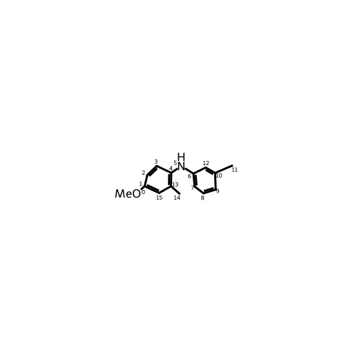 COc1ccc(Nc2cccc(C)c2)c(C)c1